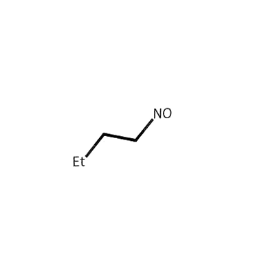 CCCCN=O